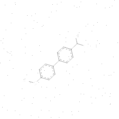 CC(=O)Sc1ccc(-c2ccc(C(O)C(=O)O)cc2)cc1